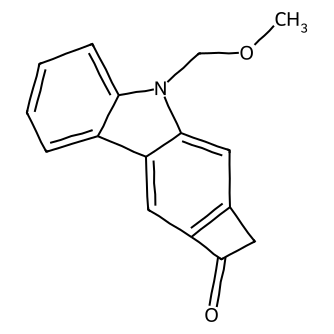 COCn1c2ccccc2c2cc3c(cc21)CC3=O